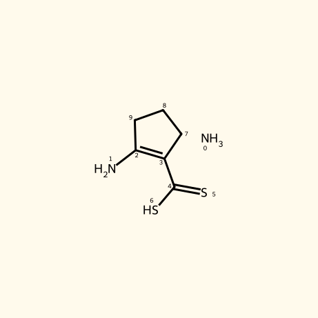 N.NC1=C(C(=S)S)CCC1